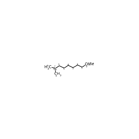 COCCCCCCN(C)C